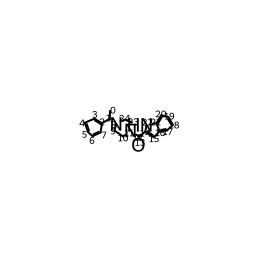 CC(c1ccccc1)N1CCN(C(=O)c2cc3ccccc3[nH]2)CC1